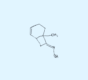 CC12CCC=CC1CC2=NO